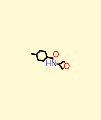 CC1CCC(C(=O)NC2COC2)CC1